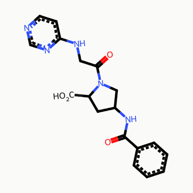 O=C(NC1CC(C(=O)O)N(C(=O)CNc2ccncn2)C1)c1ccccc1